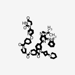 CC(C)n1cnc2cc(-c3ccc4c(c3)N(C3CC(N5CCCCC5)C3)C(=O)C43CCN(C(=O)[C@@H]4CCN(C(=O)C5CCC(Oc6ccc(N7CCC(=O)NC7=O)cn6)CC5)C4)CC3)nc(Nc3ccccc3F)c21